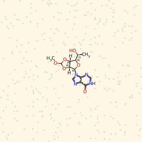 COC1O[C@H]2[C@@H](O1)[C@H](n1cnc3c(=O)[nH]cnc31)O[C@@H]2[C@H](C)O